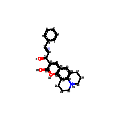 O=C(/C=C/c1ccccc1)c1cc2cc3c4c(c2oc1=O)CCCN4CCC3